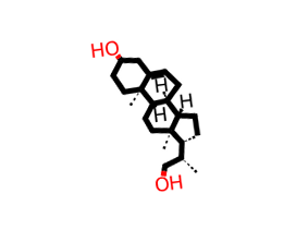 C[C@H](CO)[C@H]1CC[C@H]2[C@@H]3CC=C4CC(O)CC[C@]4(C)[C@H]3CC[C@]12C